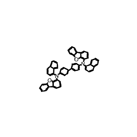 c1ccc2c(N(c3ccc(-c4ccc(N(c5cccc6ccccc56)c5cccc6c5oc5ccccc56)cc4)cc3)c3cccc4c3oc3ccccc34)cccc2c1